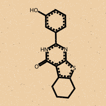 O=c1[nH]c(-c2cccc(O)c2)nc2sc3c(c12)CCCC3